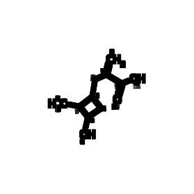 C=C(CC1CC(O)C1C)C(=O)O